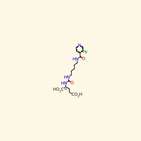 O=C(O)CC[C@H](NC(=O)NCCCCCNC(=O)c1ccncc1[18F])C(=O)O